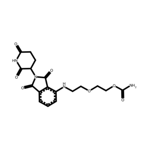 NC(=O)OCCOCCNc1cccc2c1C(=O)N(C1CCC(=O)NC1=O)C2=O